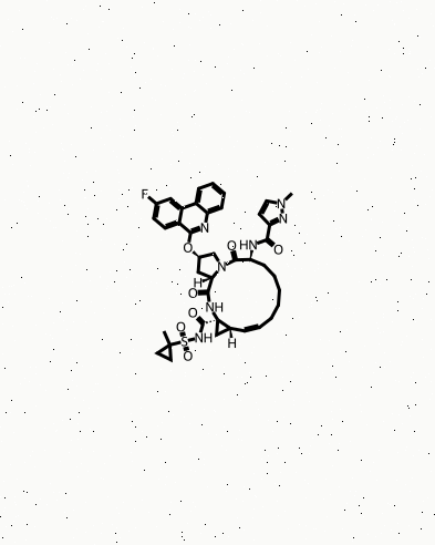 Cn1ccc(C(=O)N[C@H]2CCCCC/C=C\[C@@H]3C[C@@]3(C(=O)NS(=O)(=O)C3(C)CC3)NC(=O)[C@@H]3C[C@@H](Oc4nc5ccccc5c5cc(F)ccc45)CN3C2=O)n1